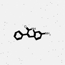 Nc1ccc2cc(-c3ccccc3)c(=O)[nH]c2c1